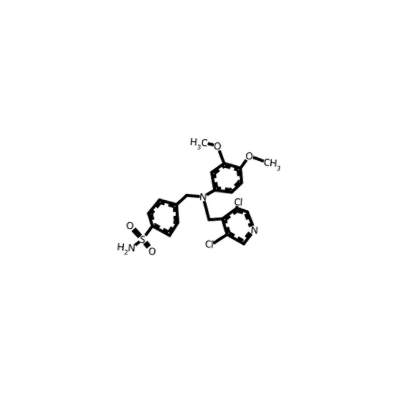 COc1ccc(N(Cc2ccc(S(N)(=O)=O)cc2)Cc2c(Cl)cncc2Cl)cc1OC